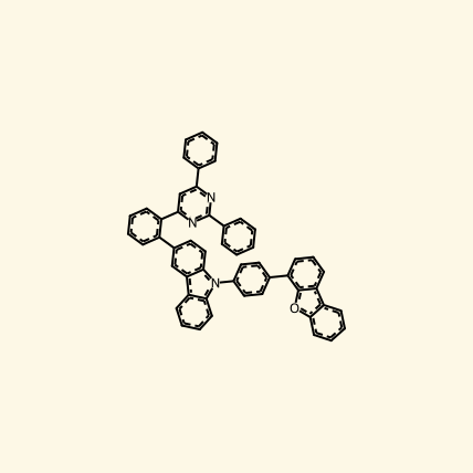 c1ccc(-c2cc(-c3ccccc3-c3ccc4c(c3)c3ccccc3n4-c3ccc(-c4cccc5c4oc4ccccc45)cc3)nc(-c3ccccc3)n2)cc1